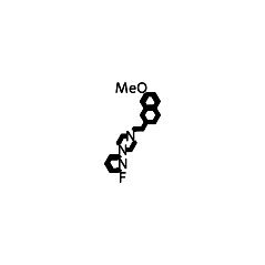 COc1ccc2c(c1)CC(CCN1CCN(c3cccc(F)n3)CC1)CC2